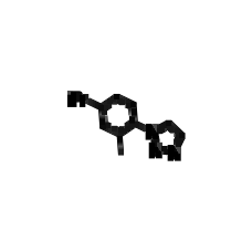 Cc1cc(C(C)C)ccc1-n1ccnn1